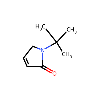 CC(C)(C)N1CC=CC1=O